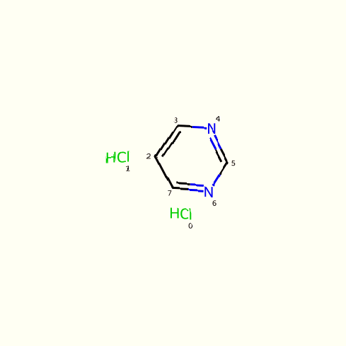 Cl.Cl.c1cncnc1